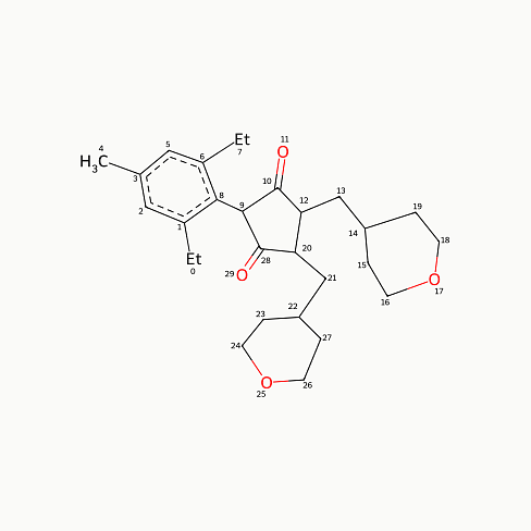 CCc1cc(C)cc(CC)c1C1C(=O)C(CC2CCOCC2)C(CC2CCOCC2)C1=O